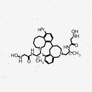 CCCc1ccc(C2CCN(C[C@H](C)NC(=O)CNO)Cc3cccc(I)c3C2)c2c1CCCCN(C[C@H](C)NC(=O)CNO)C2